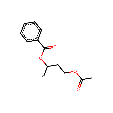 [CH2]C(CCOC(C)=O)OC(=O)c1ccccc1